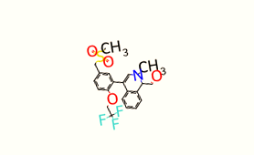 CN1C=C(c2cc(CS(C)(=O)=O)ccc2OCC(F)(F)F)c2ccccc2C1C=O